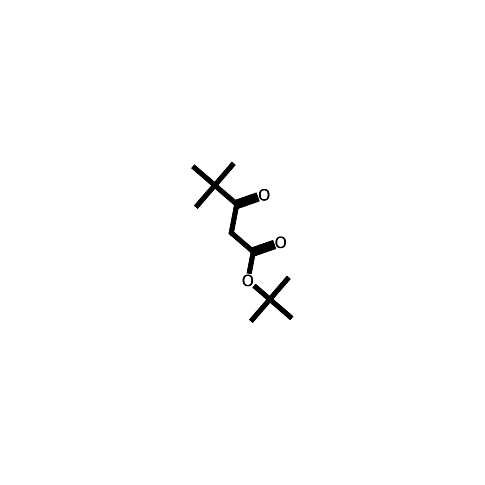 CC(C)(C)OC(=O)CC(=O)C(C)(C)C